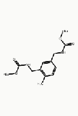 CCCCOC(=O)NCc1ccc(C)c(CNC(=O)OCCCC)c1